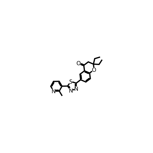 CCC1(CC)CC(=O)c2cc(-c3nnc(-c4cccnc4C)s3)ccc2O1